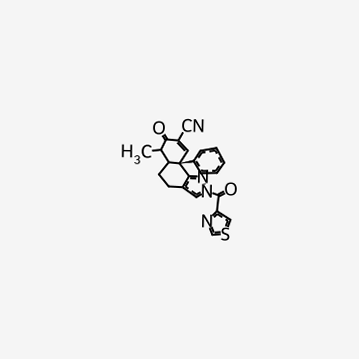 CC1C(=O)C(C#N)=C[C@]2(c3ccccc3)c3nn(C(=O)c4cscn4)cc3CCC12